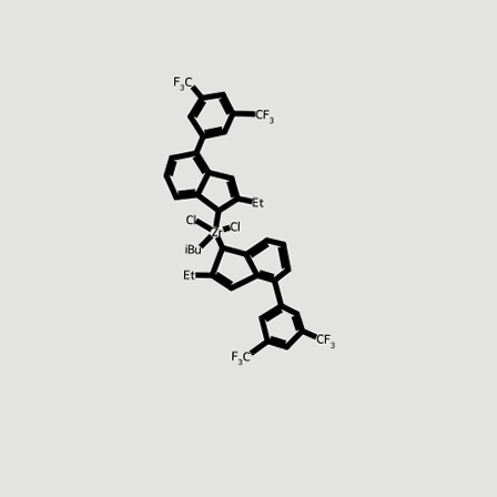 CCC1=Cc2c(-c3cc(C(F)(F)F)cc(C(F)(F)F)c3)cccc2[CH]1[Zr]([Cl])([Cl])([CH](C)CC)[CH]1C(CC)=Cc2c(-c3cc(C(F)(F)F)cc(C(F)(F)F)c3)cccc21